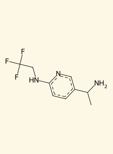 CC(N)c1ccc(NCC(F)(F)F)nc1